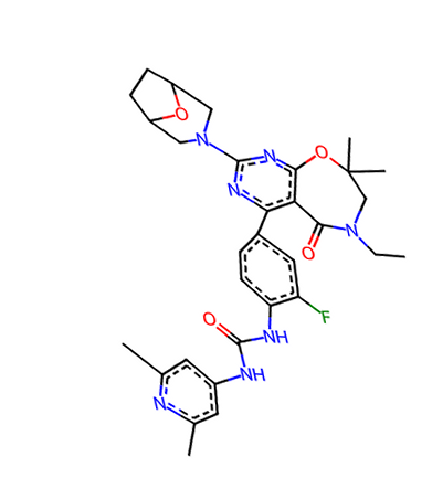 CCN1CC(C)(C)Oc2nc(N3CC4CCC(C3)O4)nc(-c3ccc(NC(=O)Nc4cc(C)nc(C)c4)c(F)c3)c2C1=O